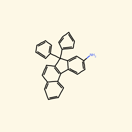 Nc1ccc2c(c1)C(c1ccccc1)(c1ccccc1)c1ccc3ccccc3c1-2